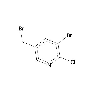 Clc1ncc(CBr)cc1Br